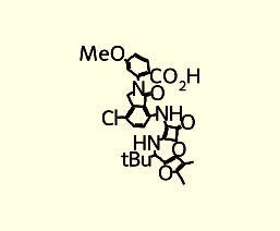 COc1ccc(C(=O)O)c(N2Cc3c(Cl)ccc(Nc4c(NC(c5cc(C)c(C)o5)C(C)(C)C)c(=O)c4=O)c3C2=O)c1